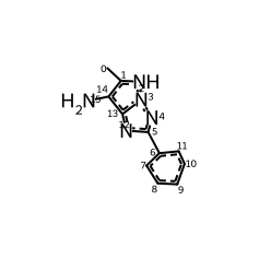 Cc1[nH]n2nc(-c3ccccc3)nc2c1N